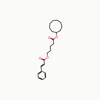 O=C(/C=C/c1ccccc1)OCCCCC(=O)OC1CCCCCCCC1